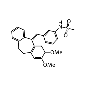 COC1=CC2=C(CC1OC)/C(=C\c1cccc(NS(C)(=O)=O)c1)c1ccccc1CC2